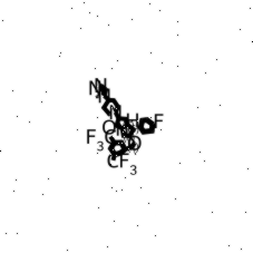 C[C@@H](O[C@H]1CN2C(=O)C(N3CCC(n4cnnc4)CC3)C[C@H]2[C@@H]1c1ccc(F)cc1)c1cc(C(F)(F)F)cc(C(F)(F)F)c1